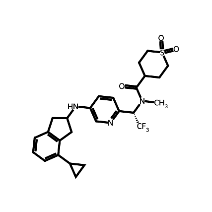 CN(C(=O)C1CCS(=O)(=O)CC1)[C@@H](c1ccc(NC2Cc3cccc(C4CC4)c3C2)cn1)C(F)(F)F